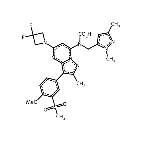 COc1ccc(-c2c(C)nn3c(N(Cc4cc(C)nn4C)C(=O)O)cc(N4CC(F)(F)C4)nc23)cc1S(C)(=O)=O